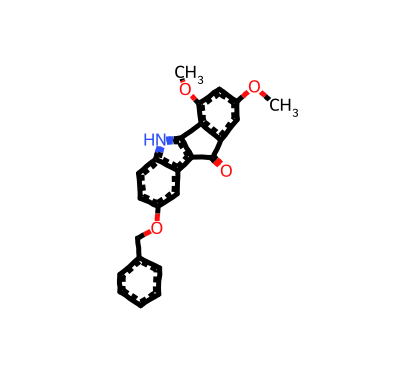 COc1cc(OC)c2c(c1)C(=O)c1c-2[nH]c2ccc(OCc3ccccc3)cc12